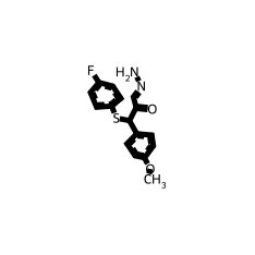 COc1ccc(C(Sc2ccc(F)cc2)C(=O)C=NN)cc1